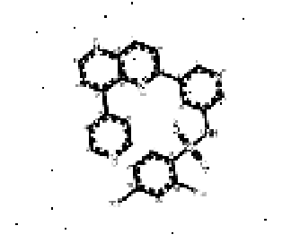 O=S(=O)(Nc1cncc(-c2ccc3nccc(-c4ccncc4)c3n2)c1)c1ccc(F)cc1F